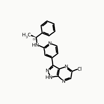 C[C@H](Nc1cc(-c2n[nH]c3ncc(Cl)nc23)ccn1)c1ccccc1